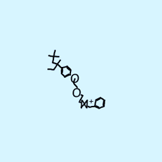 CCC(C)(CC(C)(C)C)c1ccc(OCCOCC[N+](C)(C)Cc2ccccc2)cc1